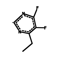 CCc1n[c]nc(F)c1F